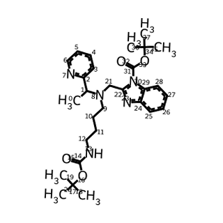 CC(c1ccccn1)N(CCCCNC(=O)OC(C)(C)C)Cc1nc2ccccc2n1C(=O)OC(C)(C)C